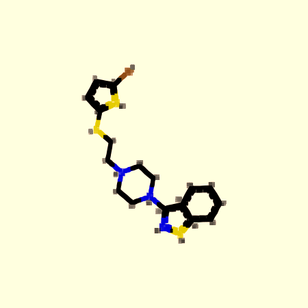 Brc1ccc(SCCN2CCN(c3nsc4ccccc34)CC2)s1